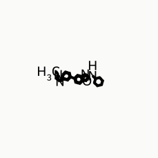 Cn1cnc2cc(-c3ccc4oc(NC5CCCCC5)nc4c3)ccc21